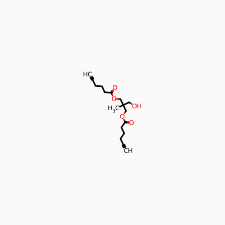 C#CCCCC(=O)OCC(C)(CO)COC(=O)CCCC#C